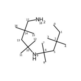 CCC(C)(C)CC(C)(C)NC(C)(C)CC(C)(C)CN